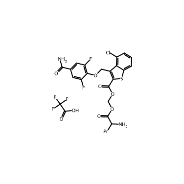 CC(C)C(N)C(=O)OCOC(=O)c1sc2cccc(Cl)c2c1COc1c(F)cc(C(N)=O)cc1F.O=C(O)C(F)(F)F